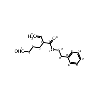 C=CC(CCCC=O)C(=O)OSCc1ccccc1